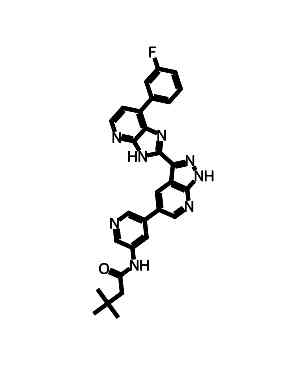 CC(C)(C)CC(=O)Nc1cncc(-c2cnc3[nH]nc(-c4nc5c(-c6cccc(F)c6)ccnc5[nH]4)c3c2)c1